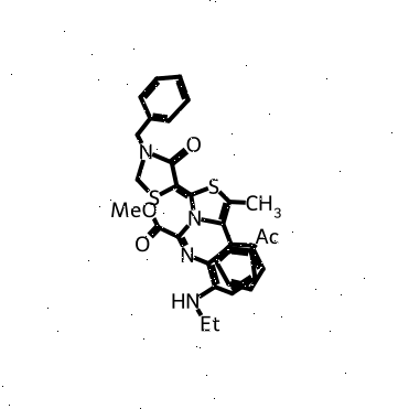 CCNc1ccc(C(C)=O)cc1N=C(C(=O)OC)N1C(=C2SCN(Cc3ccccc3)C2=O)SC(C)=C1c1ccccc1